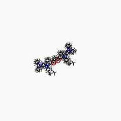 CC(C)c1ccc(N(c2ccc3c(c2)c2ccccc2n3-c2ccccc2)c2cc3oc4c(ccc5c4oc4cc(N(c6ccc(C(C)C)cc6)c6ccc7c(c6)c6ccccc6n7-c6ccccc6)c6ccccc6c45)c3c3ccccc23)cc1